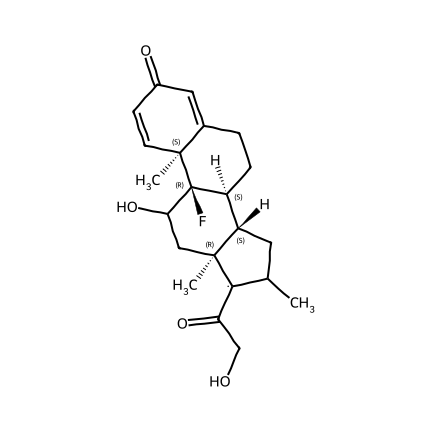 CC1C[C@H]2[C@@H]3CCC4=CC(=O)C=C[C@]4(C)[C@@]3(F)C(O)C[C@]2(C)[C]1C(=O)CO